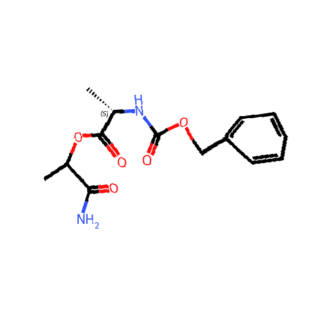 CC(OC(=O)[C@H](C)NC(=O)OCc1ccccc1)C(N)=O